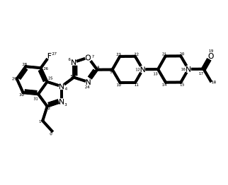 CCc1nn(-c2noc(C3CCN(C4CCN(C(C)=O)CC4)CC3)n2)c2c(F)cccc12